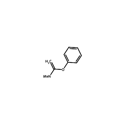 C=C(NC)Oc1ccccc1